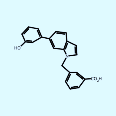 O=C(O)c1cccc(Cn2ccc3ccc(-c4cccc(O)c4)cc32)c1